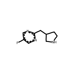 Fc1cnc(CC2CCNC2)nc1